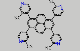 N#Cc1cc(-c2cc(-c3ccnc(C#N)c3)c3ccc4c(-c5ccncc5C#N)cc(-c5ccnc(C#N)c5)c5ccc2c3c54)ccn1